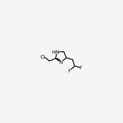 FC(F)CC1CNC(CCl)=N1